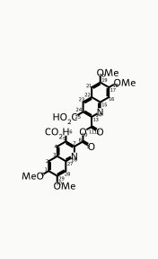 COc1cc2cc(C(=O)O)c(C(=O)OC(=O)c3nc4cc(OC)c(OC)cc4cc3C(=O)O)nc2cc1OC